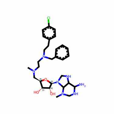 CN(CCN(CCc1ccc(Cl)cc1)Cc1ccccc1)C[C@H]1O[C@@H](N2CNC3C(N)NCN(C)C32)[C@H](O)[C@@H]1O